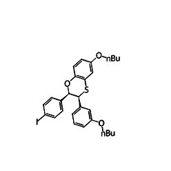 CCCCOc1cccc([C@@H]2Sc3cc(OCCCC)ccc3O[C@@H]2c2ccc(I)cc2)c1